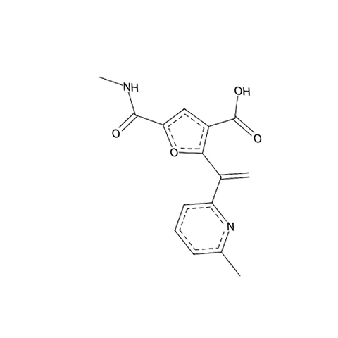 C=C(c1cccc(C)n1)c1oc(C(=O)NC)cc1C(=O)O